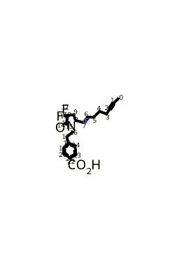 CC#CCCC/C=C/C1CC(F)(F)C(=O)N1CCc1ccc(C(=O)O)cc1